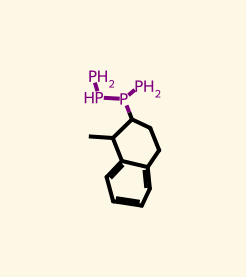 CC1c2ccccc2CCC1P(P)PP